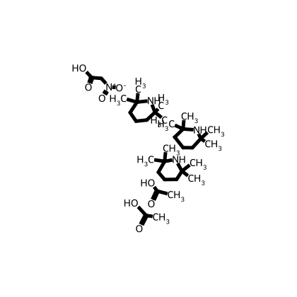 CC(=O)O.CC(=O)O.CC1(C)CCCC(C)(C)N1.CC1(C)CCCC(C)(C)N1.CC1(C)CCCC(C)(C)N1.O=C(O)C[N+](=O)[O-]